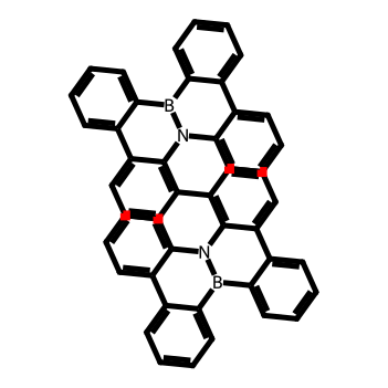 c1ccc2c(c1)B1c3ccccc3-c3cccc(-c4cccc5c4N4B(c6ccccc6-c6ccccc64)c4ccccc4-5)c3N1c1ccccc1-2